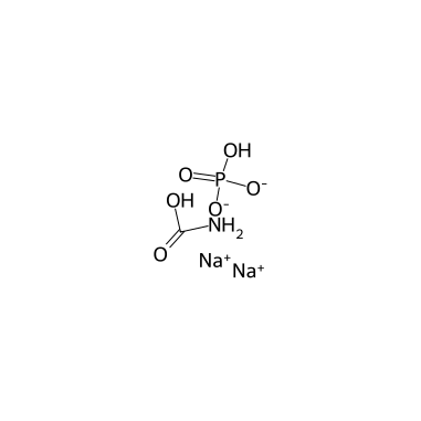 NC(=O)O.O=P([O-])([O-])O.[Na+].[Na+]